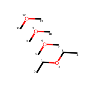 CCOCC.COC.COC.COC